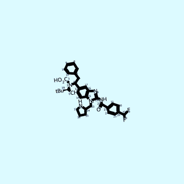 C[C@H](N(C(=O)O)C(Cc1ccccc1)c1ccc2c(c1)nc(NC(=O)c1ccc(C(F)F)cc1)n2CC1CCCN1)C(C)(C)C